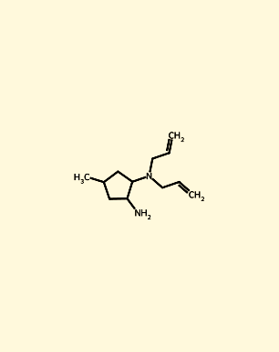 C=CCN(CC=C)C1CC(C)CC1N